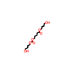 O=C(CCCCOC(=O)OCC=CCO)OCC=CCO